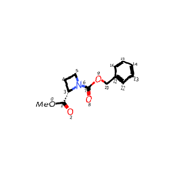 COC(=O)[C@@H]1CCN1C(=O)OCc1ccccc1